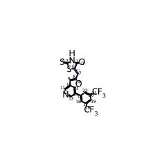 O=C1NC(=S)S/C1=C\c1cc2cncc(-c3cc(C(F)(F)F)cc(C(F)(F)F)c3)c2o1